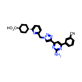 N#Cc1cccc(-c2cc(-c3cn(Cc4cccc([C@H]5CC[C@H](C(=O)O)CC5)n4)nn3)nc(N)n2)c1